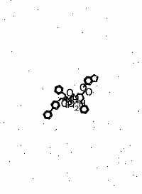 CC(C)CN(CC(CCc1ccccc1)C(=O)Oc1ccc2c(c1)CCC2)C(=O)N[C@@](Cc1ccccc1)(Cc1ccc(-c2ccccc2)cc1)C(=O)O